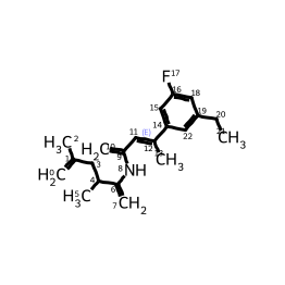 C=C(C)CC(C)C(=C)NC(=C)/C=C(\C)c1cc(F)cc(CC)c1